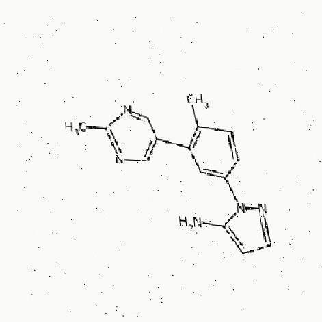 Cc1ncc(-c2cc(-n3nccc3N)ccc2C)cn1